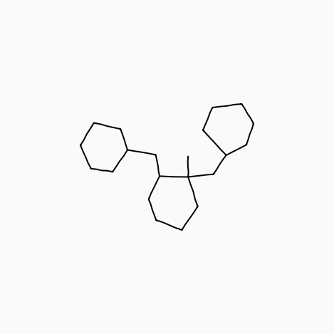 CC1(CC2CCCCC2)CCCCC1CC1CCCCC1